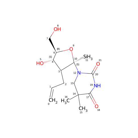 C=CCC1[C@H](O)[C@@H](CO)O[C@@]1([SiH3])N1CC(C)(C)C(=O)NC1=O